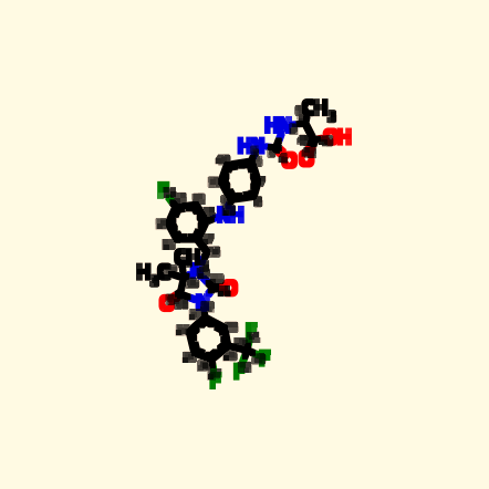 CC(NC(=O)Nc1ccc(Nc2cc(F)ccc2CN2C(=O)N(c3ccc(F)c(C(F)(F)F)c3)C(=O)C2(C)C)cc1)C(=O)O